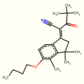 CCCCOc1ccc2c(c1C)C(C)(C)C/C2=C(/C#N)C(=O)C(C)(C)C